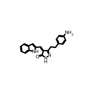 Nc1ccc(CCC2=NNC(=O)C2=Cc2cc3ccccc3[nH]2)cc1